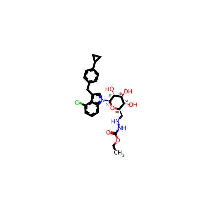 CCOC(=O)NNC[C@H]1O[C@@H](n2cc(Cc3ccc(C4CC4)cc3)c3c(Cl)cccc32)[C@H](O)[C@@H](O)[C@@H]1O